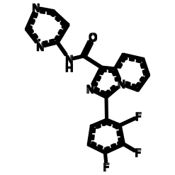 O=C(Nc1ccncn1)c1nc(-c2ccc(F)c(F)c2F)n2ccccc12